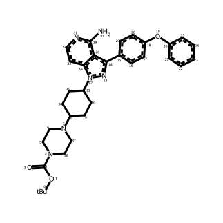 CC(C)(C)OC(=O)N1CCN(C2CCC(n3nc(-c4ccc(Oc5ccccc5)cc4)c4c(N)nccc43)CC2)CC1